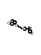 O=C1CCc2c(OCCCCN3CCC(c4noc5cc(F)ccc45)CC3)ccc3c2N1CC3